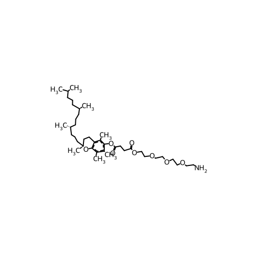 Cc1c(C)c2c(c(C)c1OC(=O)CCC(=O)OCCOCCOCCOCCN)CC[C@@](C)(CCC[C@H](C)CCC[C@H](C)CCCC(C)C)O2